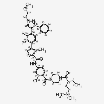 CCC(CCN(C)C)C(=O)N1CCN(C(=O)c2ccc(NC(=O)c3ncc(-c4ccc(-c5cn(CCOC)nc5-c5ccccc5)c(F)c4F)n3C)cc2Cl)CC1